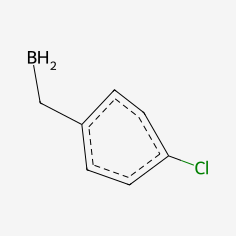 BCc1ccc(Cl)cc1